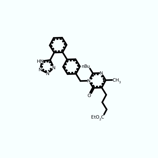 CCCCc1nc(C)c(CCCC(=O)OCC)c(=O)n1Cc1ccc(-c2ccccc2-c2nnn[nH]2)cc1